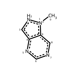 C[n+]1[nH]cc2ncncc21